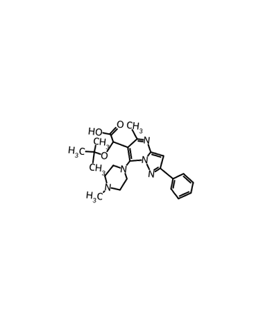 Cc1nc2cc(-c3ccccc3)nn2c(N2CCN(C)CC2)c1C(OC(C)(C)C)C(=O)O